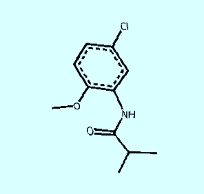 COc1ccc(Cl)cc1NC(=O)C(C)C